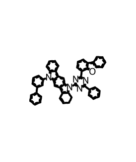 C1=Cc2c(n(-c3nc(-c4ccccc4)nc(-c4cccc5c4oc4ccccc45)n3)c3cc4c5ccccc5n(-c5cccc(-c6ccccc6)c5)c4cc23)CC1